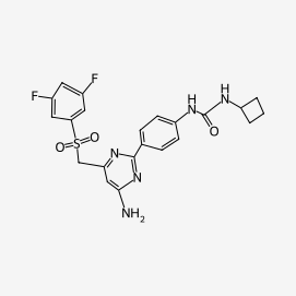 Nc1cc(CS(=O)(=O)c2cc(F)cc(F)c2)nc(-c2ccc(NC(=O)NC3CCC3)cc2)n1